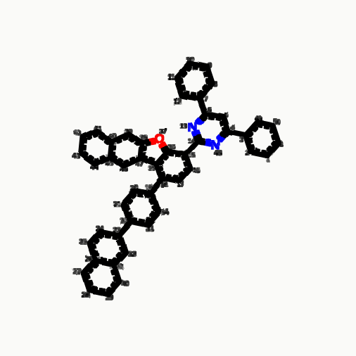 c1ccc(-c2cc(-c3ccccc3)nc(-c3ccc(-c4ccc(-c5ccc6ccccc6c5)cc4)c4c3oc3cc5ccccc5cc34)n2)cc1